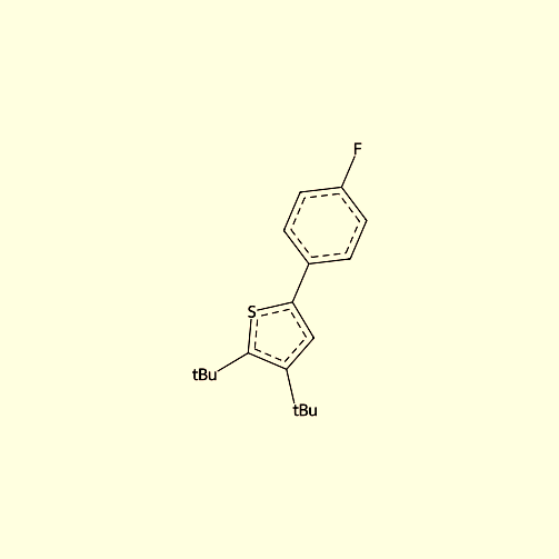 CC(C)(C)c1cc(-c2ccc(F)cc2)sc1C(C)(C)C